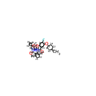 COc1cc(F)c(O[C@H]2CC[C@H](C)CC2)cc1C(=O)N[C@@H]1[C@H]2CC[C@H](C2)[C@@H]1C(=O)NCC1(OC)CCC1